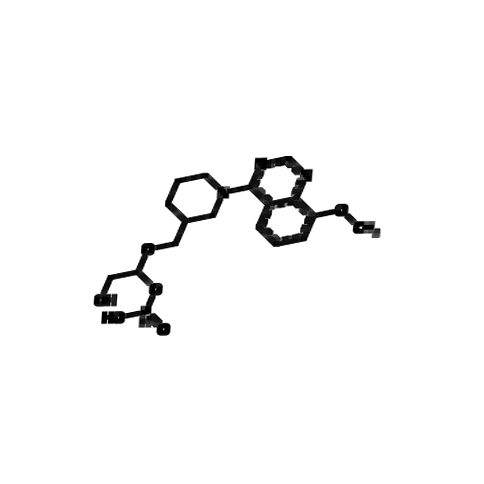 COc1cccc2c(N3CCCC(COC(CO)O[PH](=O)O)C3)ncnc12